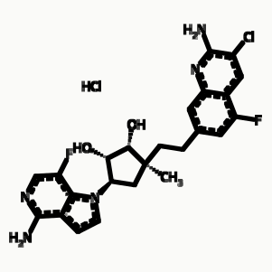 C[C@]1(CCc2cc(F)c3cc(Cl)c(N)nc3c2)C[C@@H](n2ccc3c(N)ncc(F)c32)[C@H](O)[C@@H]1O.Cl